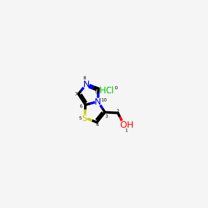 Cl.OCc1csc2cncn12